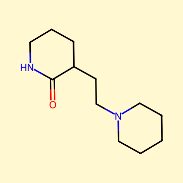 O=C1NCCCC1CCN1CCCCC1